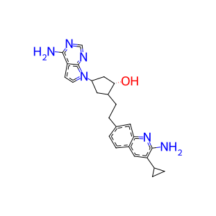 Nc1nc2cc(CCC3CC(n4ccc5c(N)ncnc54)C[C@@H]3O)ccc2cc1C1CC1